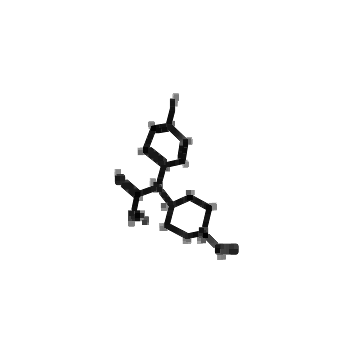 NC(=O)N(c1ccc(F)cc1)C1CCN(C=O)CC1